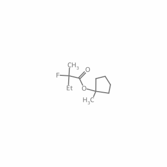 CCC(C)(F)C(=O)OC1(C)CCCC1